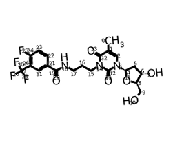 Cc1cn([C@H]2C[C@H](O)[C@@H](CO)O2)c(=O)n(CCCNC(=O)c2ccc(F)c(C(F)(F)F)c2)c1=O